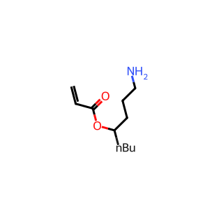 C=CC(=O)OC(CCCC)CCCN